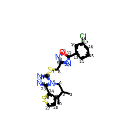 CCC(C)Cn1c(SCc2noc(-c3cccc(Cl)c3)n2)nnc1-c1cccs1